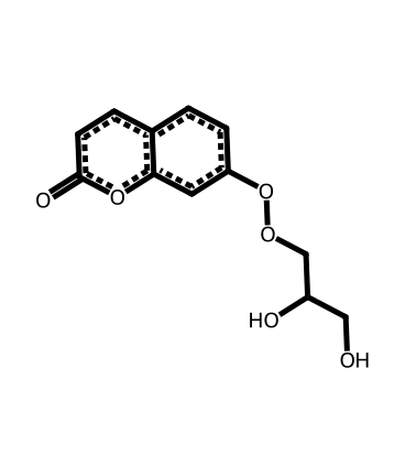 O=c1ccc2ccc(OOCC(O)CO)cc2o1